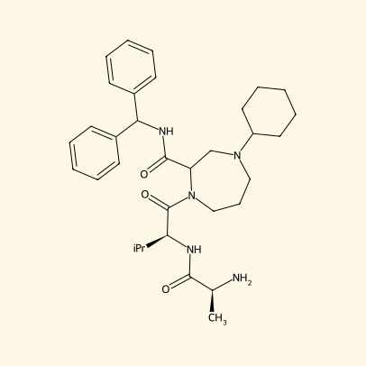 CC(C)[C@H](NC(=O)[C@H](C)N)C(=O)N1CCCN(C2CCCCC2)CC1C(=O)NC(c1ccccc1)c1ccccc1